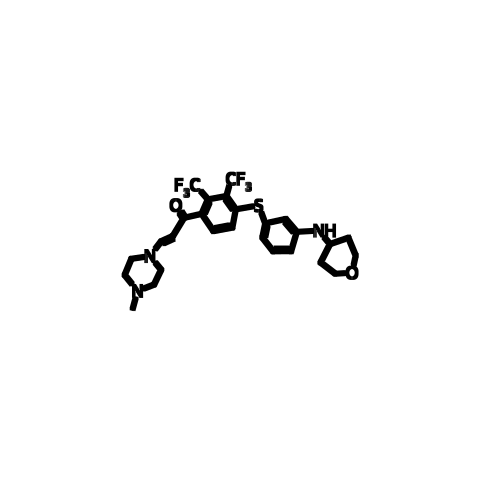 CN1CCN(C=CC(=O)c2ccc(Sc3cccc(NC4CCOCC4)c3)c(C(F)(F)F)c2C(F)(F)F)CC1